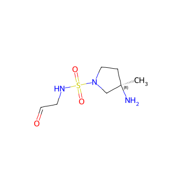 C[C@@]1(N)CCN(S(=O)(=O)NCC=O)C1